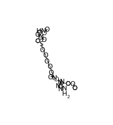 Nc1ncnc2c1c(-c1ccc(Oc3ccccc3)cc1)nn2C1CCN(C(=O)COCCOCCOCCOCCOCCSc2cccc3c2C(=O)N(C2CCC(=O)NC2=O)C3=O)CC1